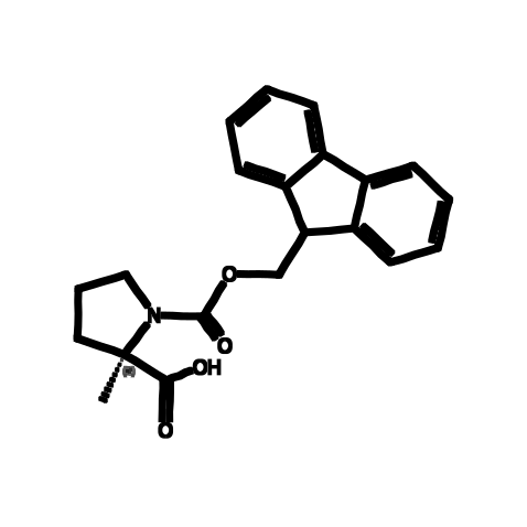 C[C@]1(C(=O)O)CCCN1C(=O)OCC1c2ccccc2-c2ccccc21